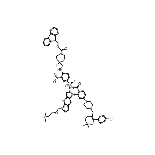 CC1(C)CCC(CN2CCN(c3ccc(C(=O)NS(=O)(=O)c4ccc(NCC5(F)CCN(C(=O)OCC6c7ccccc7-c7ccccc76)CC5)c([N+](=O)[O-])c4)c(-n4ncc5nc6c(ccn6COCC[Si](C)(C)C)cc54)c3)CC2)=C(c2ccc(Cl)cc2)C1